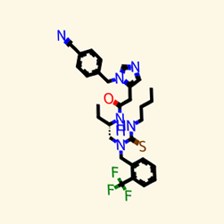 CCCCNC(=S)N(Cc1ccccc1C(F)(F)F)C[C@H](CC)NC(=O)Cc1cncn1Cc1ccc(C#N)cc1